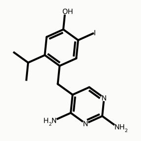 CC(C)c1cc(O)c(I)cc1Cc1cnc(N)nc1N